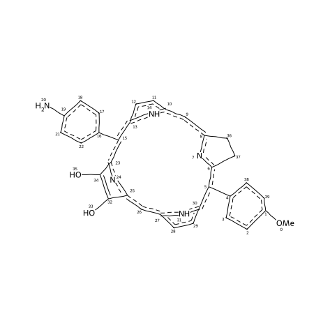 COc1ccc(-c2c3nc(cc4ccc([nH]4)c(-c4ccc(N)cc4)c4nc(cc5ccc2[nH]5)C(O)=C4O)CC3)cc1